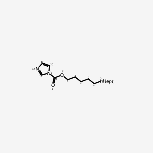 CCCCCCCCCCCCOC(=O)n1ccnc1